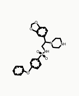 O=S(=O)(NCC(c1ccc2c(c1)OCO2)N1CCNCC1)c1ccc(Oc2ccccc2)cc1